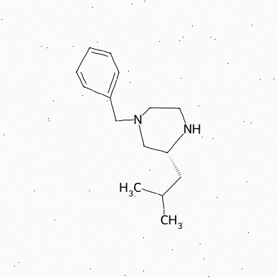 CC(C)C[C@@H]1CN(Cc2ccccc2)CCN1